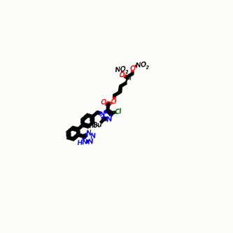 CCCCc1nc(Cl)c(C(=O)OCCCC[C@H](CO[N+](=O)[O-])O[N+](=O)[O-])n1Cc1ccc(-c2ccccc2-c2nnn[nH]2)cc1